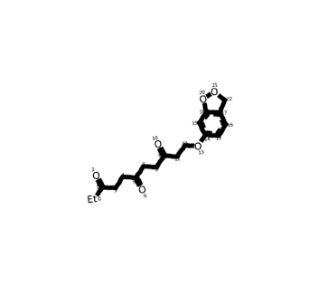 CCC(=O)CCC(=O)CCC(=O)CCOc1ccc2c(c1)OOC2